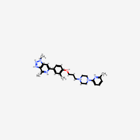 Cc1cccc(N2CCN(CCCOc3ccc(-c4cc5c(nnn5C)c(C#N)n4)cc3C)CC2)n1